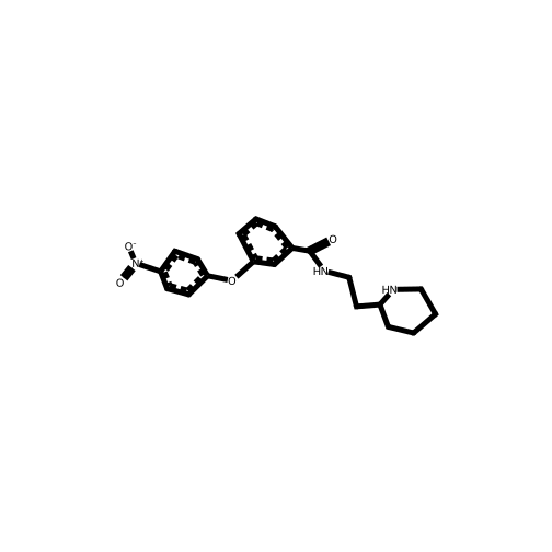 O=C(NCCC1CCCCN1)c1cccc(Oc2ccc([N+](=O)[O-])cc2)c1